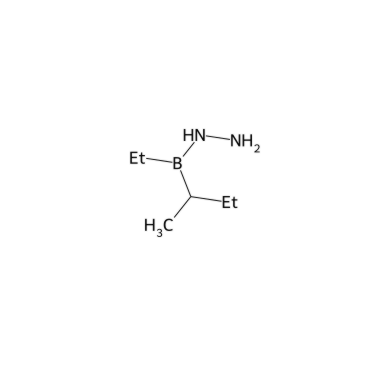 CCB(NN)C(C)CC